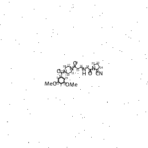 COc1cc(OC)cc(C(=O)N2CCN(C(=O)CCNCC(=O)N3CCCC3C#N)CC2)c1